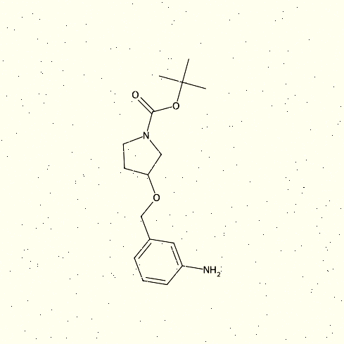 CC(C)(C)OC(=O)N1CCC(OCc2cccc(N)c2)C1